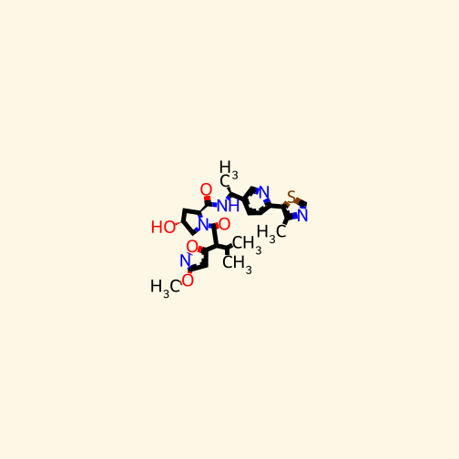 COc1cc(C(C(=O)N2C[C@H](O)C[C@H]2C(=O)N[C@@H](C)c2ccc(-c3scnc3C)nc2)C(C)C)on1